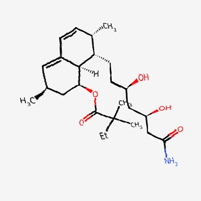 CCC(C)(C)C(=O)O[C@H]1C[C@@H](C)C=C2C=C[C@H](C)[C@H](CC[C@@H](O)C[C@@H](O)CC(N)=O)[C@H]21